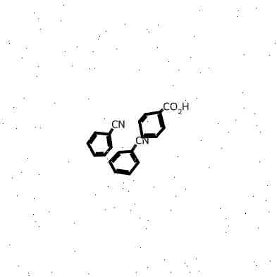 N#Cc1ccccc1.N#Cc1ccccc1.O=C(O)c1ccccc1